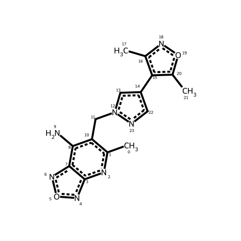 Cc1nc2nonc2c(N)c1Cn1cc(-c2c(C)noc2C)cn1